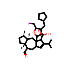 CC(C)C1=CC2CC(C=O)[C@@H]3CC[C@@H](C)[C@H]3CC2(C2CC(CC3CCCC3)C(CI)O2)C1C(=O)O